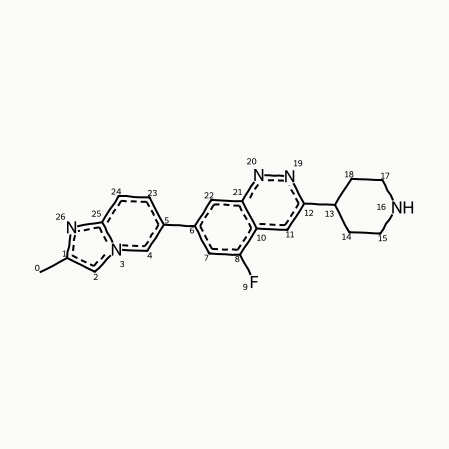 Cc1cn2cc(-c3cc(F)c4cc(C5CCNCC5)nnc4c3)ccc2n1